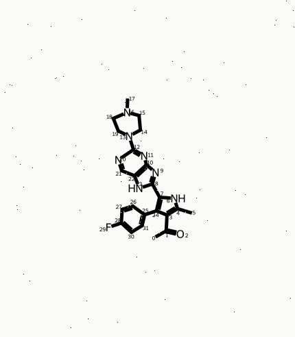 CC(=O)c1c(C)[nH]c(-c2nc3nc(N4CCN(C)CC4)ncc3[nH]2)c1-c1ccc(F)cc1